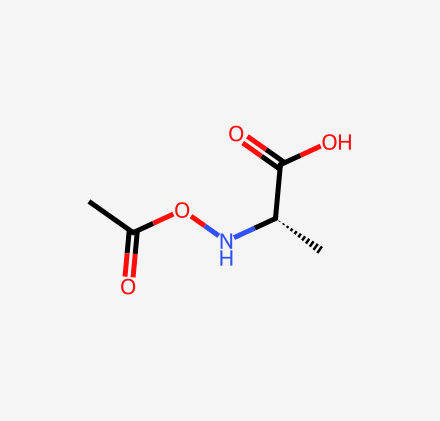 CC(=O)ON[C@@H](C)C(=O)O